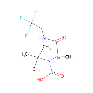 C[C@@H](C(=O)NCC(F)(F)F)N(C(=O)O)C(C)(C)C